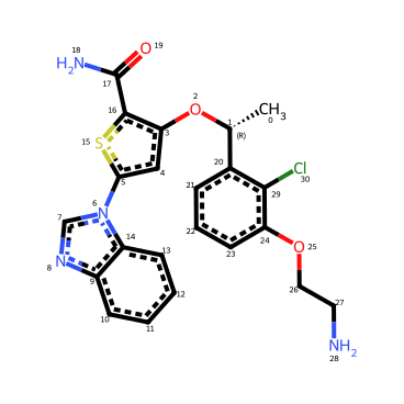 C[C@@H](Oc1cc(-n2cnc3ccccc32)sc1C(N)=O)c1cccc(OCCN)c1Cl